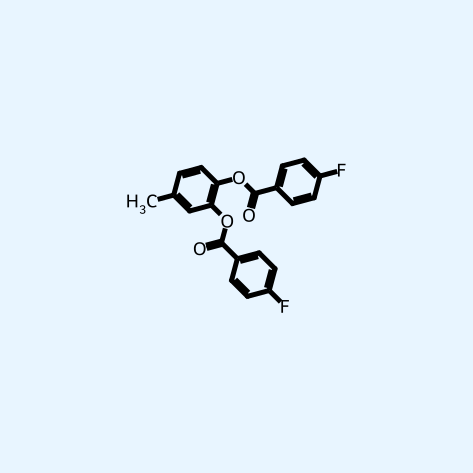 Cc1ccc(OC(=O)c2ccc(F)cc2)c(OC(=O)c2ccc(F)cc2)c1